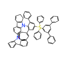 C1#CCC(c2cc(S(c3ccccc3)(c3ccccc3)c3cc(-c4ccccc4)cc(-c4ccccc4)c3)cc(-c3ccccc3)c2-n2c3c(c4ccc(-n5c6ccccc6c6ccccc65)cc42)C=CCC3)=CC=C1